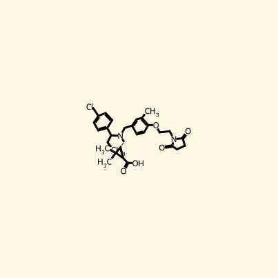 CCC(c1ccc(Cl)cc1)N(Cc1ccc(OCCN2C(=O)CCC2=O)c(C)c1)C[C@@H]1C(C(=O)O)C1(C)C